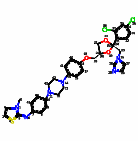 Cn1ccsc1=Nc1ccc(N2CCN(c3ccc(OC[C@@H]4CO[C@@](Cn5ccnc5)(c5ccc(Cl)cc5Cl)O4)cc3)CC2)cc1